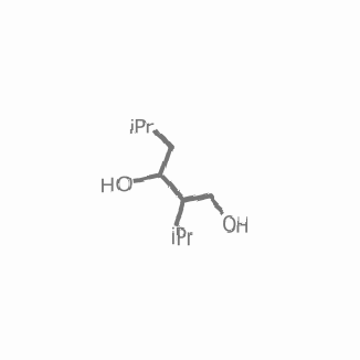 CC(C)CC(O)C(CO)C(C)C